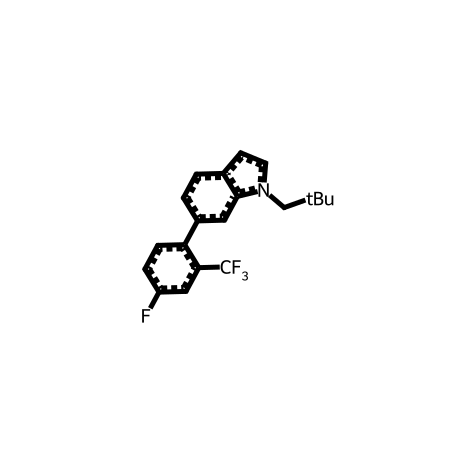 CC(C)(C)Cn1ccc2ccc(-c3ccc(F)cc3C(F)(F)F)cc21